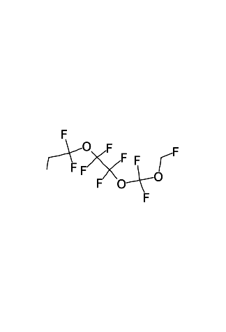 CCC(F)(F)OC(F)(F)C(F)(F)OC(F)(F)OCF